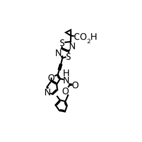 Cc1ccccc1COC(=O)Nc1c(C#Cc2nc3sc(C4(C(=O)O)CC4)nc3s2)oc2cnccc12